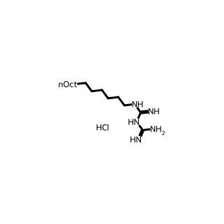 CCCCCCCCCCCCCCNC(=N)NC(=N)N.Cl